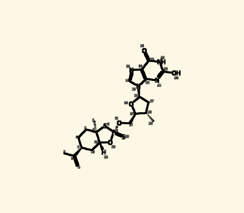 C=C(C)[C@H]1CC[C@@]2(C)S[P@](=S)(OC[C@H]3O[C@@H](n4cnc5c(=O)[nH]c(O)nc54)C[C@@H]3C)O[C@@H]2C1